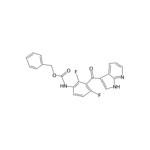 O=C(Nc1ccc(F)c(C(=O)c2c[nH]c3ncccc23)c1F)OCc1ccccc1